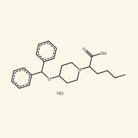 CCCCC(C(=O)O)N1CCC(OC(c2ccccc2)c2ccccc2)CC1.Cl